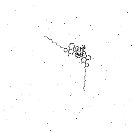 CCCCCCCCCCOc1c(C)cc(S(=O)(=O)C(=[N+]=[N-])S(=O)(=O)c2cc(C)c(OCCCCCCCCCC)c3ccccc23)c2ccccc12